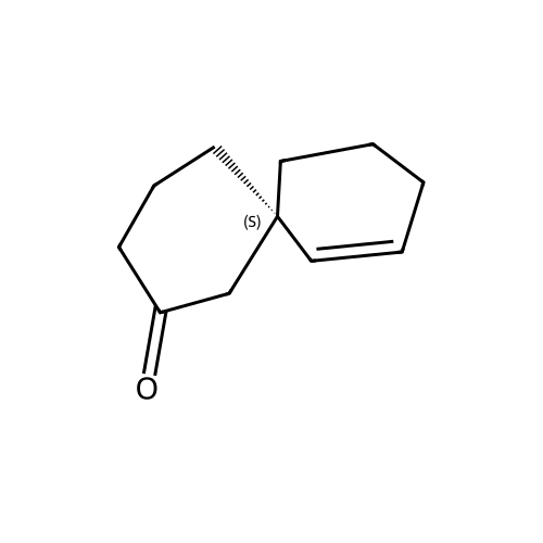 O=C1CCC[C@]2(C=CCCC2)C1